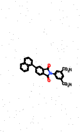 O=C(O)c1cc(C(=O)O)cc(N2C(=O)c3ccc(-c4cccc5ccccc45)cc3C2=O)c1